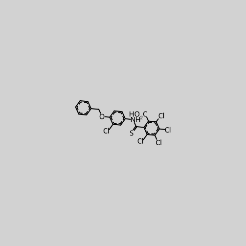 O=C(O)c1c(Cl)c(Cl)c(Cl)c(Cl)c1C(=S)Nc1ccc(OCc2ccccc2)c(Cl)c1